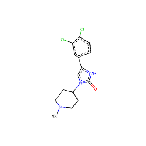 CC(C)(C)N1CCC(n2cc(-c3ccc(Cl)c(Cl)c3)[nH]c2=O)CC1